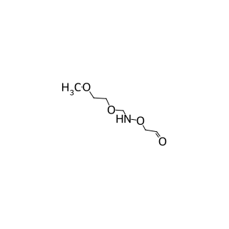 COCCOCNOCC=O